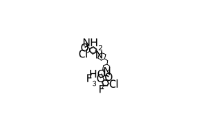 NC(=O)c1ccc(N2CCC(CC3CCN(C(=O)C(O)(c4cc(F)cc(Cl)c4)C(F)(F)F)CC3)CC2)cc1Cl